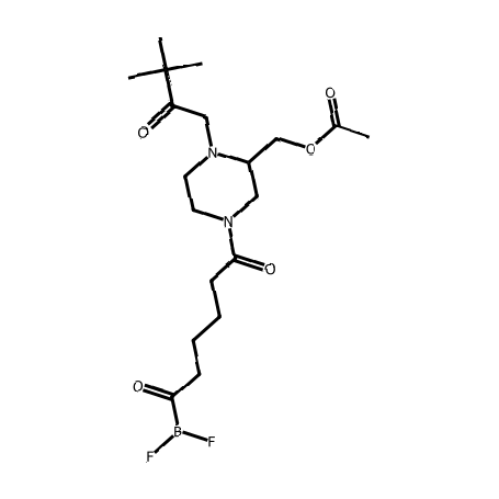 CC(=O)OCC1CN(C(=O)CCCCC(=O)B(F)F)CCN1CC(=O)C(C)(C)C